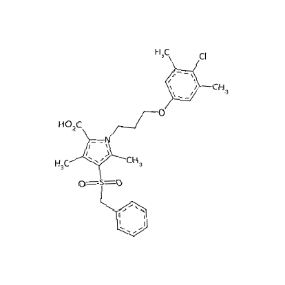 Cc1cc(OCCCn2c(C)c(S(=O)(=O)Cc3ccccc3)c(C)c2C(=O)O)cc(C)c1Cl